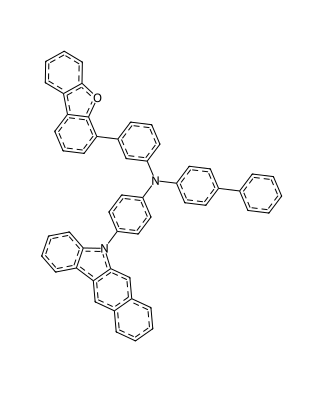 c1ccc(-c2ccc(N(c3ccc(-n4c5ccccc5c5cc6ccccc6cc54)cc3)c3cccc(-c4cccc5c4oc4ccccc45)c3)cc2)cc1